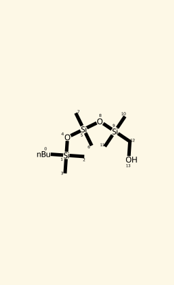 CCCC[Si](C)(C)O[Si](C)(C)O[Si](C)(C)CO